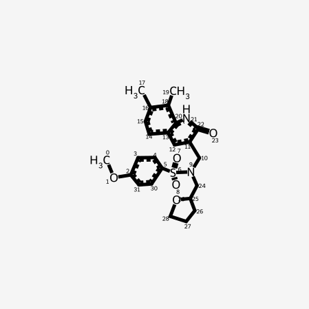 COc1ccc(S(=O)(=O)N(Cc2cc3ccc(C)c(C)c3[nH]c2=O)CC2CCCO2)cc1